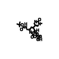 Cn1cc(C2=C[C@H](CNC(=O)OC(C)(C)C)N3C[C@@H]2N(OS(=O)(=O)O)C3=O)cnc1=O